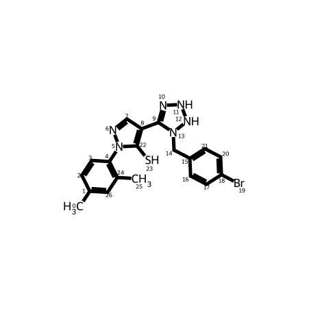 Cc1ccc(-n2ncc(C3=NNNN3Cc3ccc(Br)cc3)c2S)c(C)c1